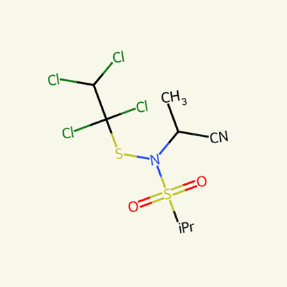 CC(C#N)N(SC(Cl)(Cl)C(Cl)Cl)S(=O)(=O)C(C)C